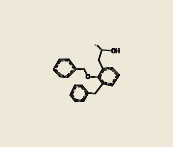 [CH2]C(O)Cc1cccc(Cc2ccccc2)c1OCc1ccccc1